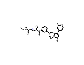 CCOC(=O)/C=C/C(=O)Nc1cccc(-c2cnc3[nH]cc(-c4ccnc(C)c4)c3c2)c1